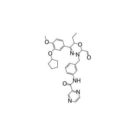 CCC1OC(C=O)N(Cc2cccc(NC(=O)c3cnccn3)c2)N=C1c1ccc(OC)c(OC2CCCC2)c1